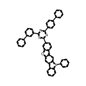 c1ccc(-c2ccc(-c3nc(-c4cccc(-c5ccccc5)c4)nc(-c4ccc5c(c4)oc4cc6c7ccccc7n(-c7ccccc7)c6cc45)n3)cc2)cc1